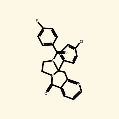 O=C(c1ccc(F)cc1)N1CCN2C(=O)c3cccnc3CC12c1ccc(Cl)cn1